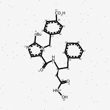 CCCCc1ncc(C(=O)N[C@H](CC(=O)NO)Cc2ccccc2)n1Cc1ccc(C(=O)O)cc1